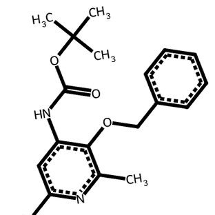 Cc1nc(Br)cc(NC(=O)OC(C)(C)C)c1OCc1ccccc1